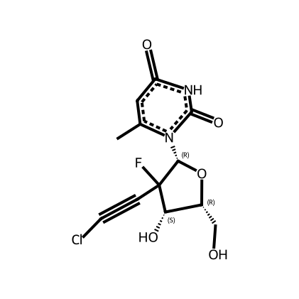 Cc1cc(=O)[nH]c(=O)n1[C@@H]1O[C@H](CO)[C@H](O)C1(F)C#CCl